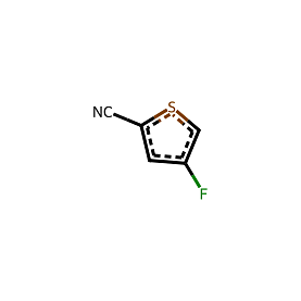 N#Cc1cc(F)cs1